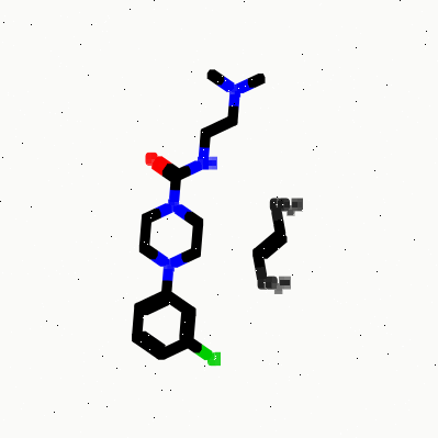 CN(C)CCNC(=O)N1CCN(c2cccc(Cl)c2)CC1.O=C(O)C=CC(=O)O